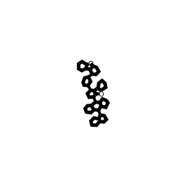 c1cc(-c2cccc3oc4ccccc4c23)cc(-c2ccc(-c3c4ccccc4c(-c4cccc5ccccc45)c4ccccc34)c3oc4ccccc4c23)c1